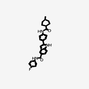 CC1CCC(C(=O)Nc2ccc(-c3cc4cc(C(=O)Nc5ccc(F)cc5)ccc4[nH]3)cc2)CC1